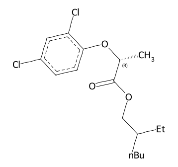 CCCCC(CC)COC(=O)[C@@H](C)Oc1ccc(Cl)cc1Cl